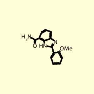 COc1ccccc1-c1nc2cccc(C(N)=O)c2[nH]1